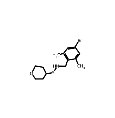 Cc1cc(Br)cc(C)c1CNSC1CCOCC1